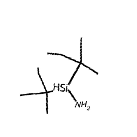 CC(C)(C)[SiH](N)C(C)(C)C